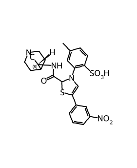 Cc1ccc(S(=O)(=O)O)c(N2C=C(c3cccc([N+](=O)[O-])c3)SC2C(=O)N[C@H]2CN3CCC2CC3)c1